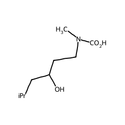 CC(C)CC(O)CCN(C)C(=O)O